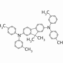 Cc1ccc(N(c2cccc(C)c2)c2ccc3c(c2)C(C)(C)c2cc(N(c4ccc(C)cc4)c4cccc(C)c4)ccc2-3)cc1